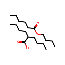 CCCCC(CCCC)C(=O)O.CCCCCC(=O)OCCCC